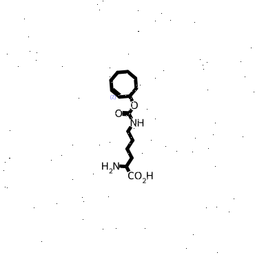 NC(CCCCNC(=O)OC1/C=C\CCCCC1)C(=O)O